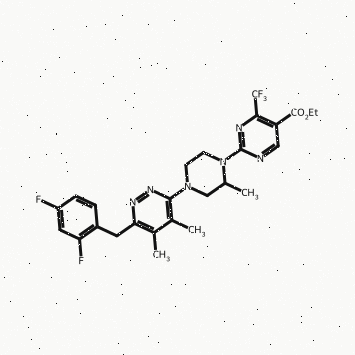 CCOC(=O)c1cnc(N2CCN(c3nnc(Cc4ccc(F)cc4F)c(C)c3C)CC2C)nc1C(F)(F)F